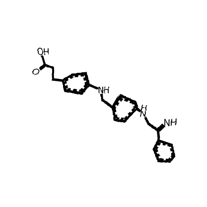 N=C(CNc1ccc(CNc2ccc(CCC(=O)O)cc2)cc1)c1ccccc1